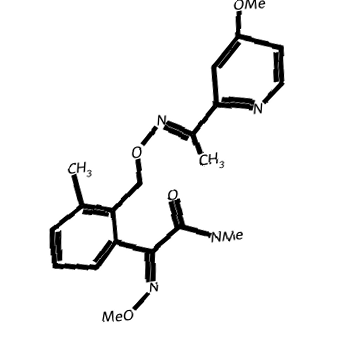 CNC(=O)/C(=N/OC)c1cccc(C)c1CO/N=C(\C)c1cc(OC)ccn1